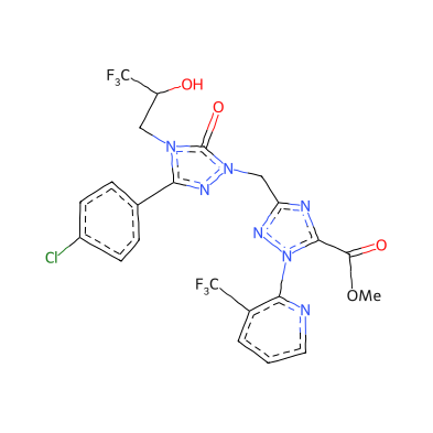 COC(=O)c1nc(Cn2nc(-c3ccc(Cl)cc3)n(CC(O)C(F)(F)F)c2=O)nn1-c1ncccc1C(F)(F)F